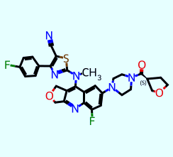 CN(c1nc(-c2ccc(F)cc2)c(C#N)s1)c1c2c(nc3c(F)cc(N4CCN(C(=O)[C@H]5CCOC5)CC4)cc13)COC2